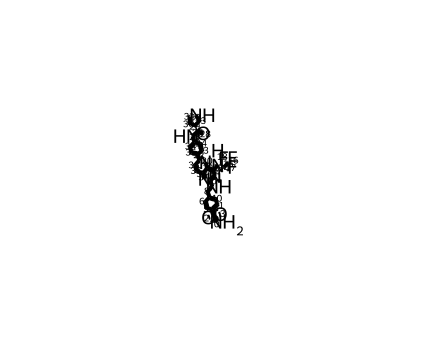 NS(=O)(=O)c1ccc(CNc2nc(NCC(F)(F)F)c3nc(-c4ccc(NC(=O)[C@H]5CCNC5)cc4)ccc3n2)cc1